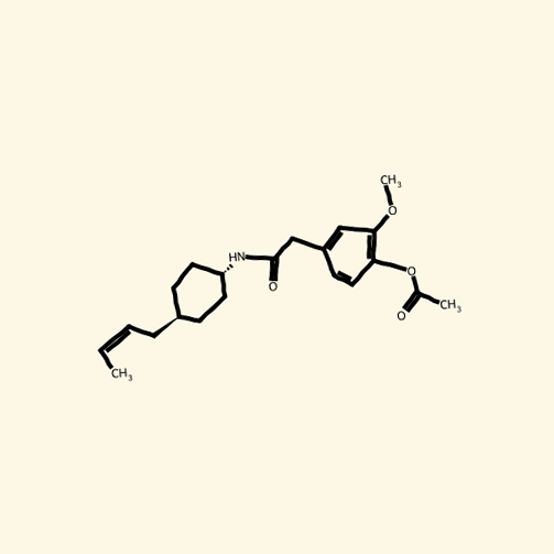 C/C=C\C[C@H]1CC[C@H](NC(=O)Cc2ccc(OC(C)=O)c(OC)c2)CC1